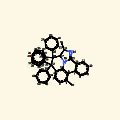 Cc1ccc2c3c1-c1ccccc1C1=NC(C)C(N13)C(c1ccccc1)(c1ccccc1)C2(c1ccccc1)c1ccccc1